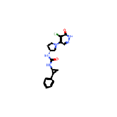 O=C(NC1CC1c1ccccc1)N[C@@H]1CCN(c2cn[nH]c(=O)c2Cl)C1